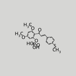 COc1cc(OC)c(C(=O)C=Cc2ccc(SC)cc2)c(OP(=O)(O)O)c1